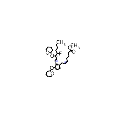 CCCCC(F)[C@@H](/C=C/[C@@H]1C(C/C=C\CCCC(=O)OC)=CC[C@H]1OC1CCCCO1)OC1CCCCO1